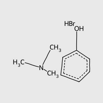 Br.CN(C)C.Oc1ccccc1